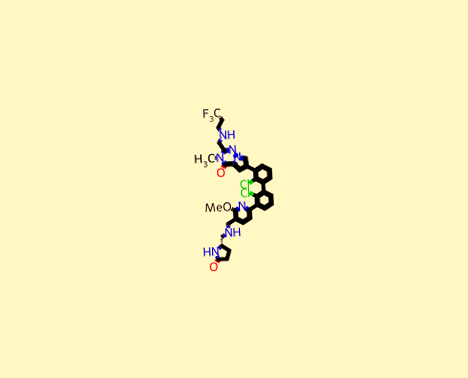 COc1nc(-c2cccc(-c3cccc(-c4cc5c(=O)n(C)c(CNCCC(F)(F)F)nn5c4)c3Cl)c2Cl)ccc1CNC[C@@H]1CCC(=O)N1